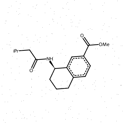 COC(=O)c1ccc2c(c1)[C@H](NC(=O)CC(C)C)CCC2